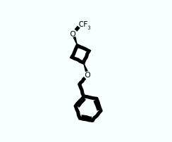 FC(F)(F)O[C@H]1C[C@@H](OCc2ccccc2)C1